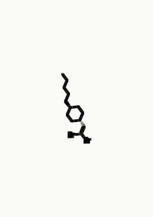 CCCCC[C@H]1CC[C@H](C=C(Br)Br)CC1